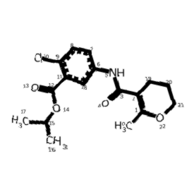 CC1=C(C(=O)Nc2ccc(Cl)c(C(=O)OC(C)C)c2)CCCO1